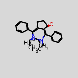 CCN(CC)C(=C1CCC(=O)C1=C(c1ccccc1)N(CC)CC)c1ccccc1